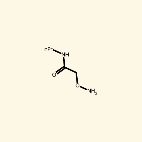 [CH2]CCNC(=O)CON